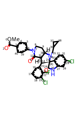 COC(=O)c1ccc(N2CC[C@@H]3[C@H](C2=O)C(c2cccc(Cl)c2F)[C@@]2(C(=O)Nc4cc(Cl)ccc42)N3CC2CC2)cc1